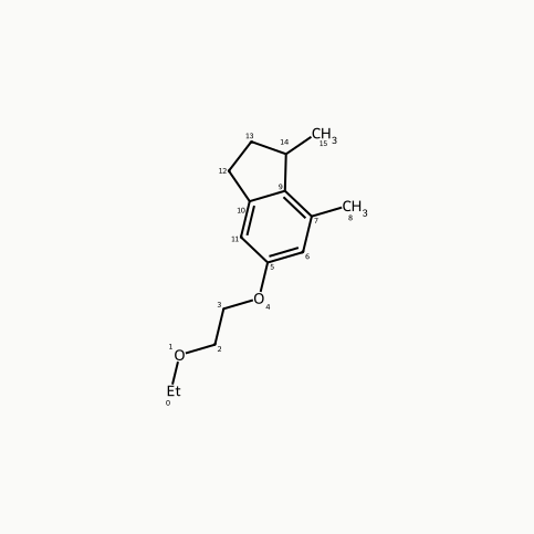 CCOCCOc1cc(C)c2c(c1)CCC2C